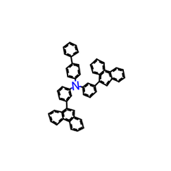 c1ccc(-c2ccc(N(c3cccc(-c4cc5ccccc5c5ccccc45)c3)c3cccc(-c4cc5ccccc5c5ccccc45)c3)cc2)cc1